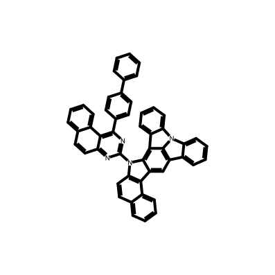 c1ccc(-c2ccc(-c3nc(-n4c5ccc6ccccc6c5c5cc6c7ccccc7n7c8ccccc8c(c54)c67)nc4ccc5ccccc5c34)cc2)cc1